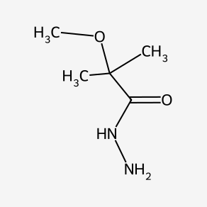 COC(C)(C)C(=O)NN